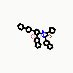 c1ccc(-c2ccc(-c3ccc(-c4nc(-c5ccc6ccccc6c5)c5sc6ccccc6c5n4)c4c3oc3cc5ccccc5cc34)cc2)cc1